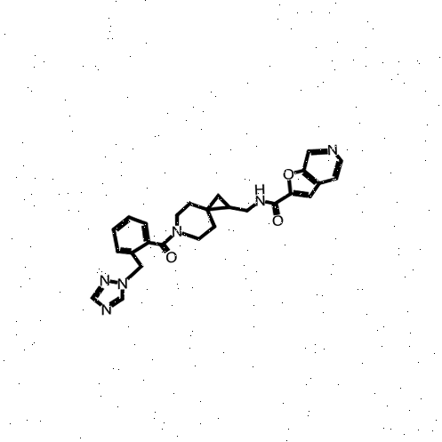 O=C(NCC1CC12CCN(C(=O)c1ccccc1Cn1cncn1)CC2)c1cc2ccncc2o1